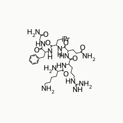 CC(C)CC(NC(=O)C(CCC(N)=O)NC(=O)C(CCCNC(=N)N)NC(=O)C(N)CCCCN)C(=O)NC(Cc1ccccc1)C(=O)NCC(N)=O